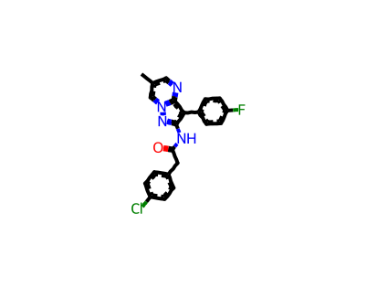 Cc1cnc2c(-c3ccc(F)cc3)c(NC(=O)Cc3ccc(Cl)cc3)nn2c1